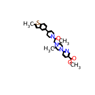 COC(=O)c1ccc(N2C[C@@H](C)N(CC(=O)N3CC=C(c4ccc5sc(C)cc5c4)CC3)[C@@H](C)C2)nc1